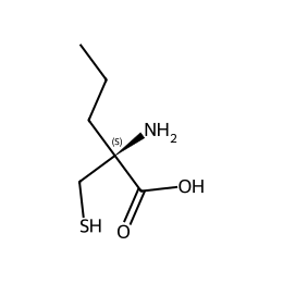 CCC[C@@](N)(CS)C(=O)O